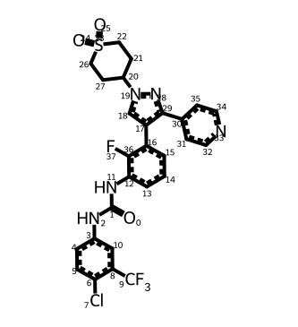 O=C(Nc1ccc(Cl)c(C(F)(F)F)c1)Nc1cccc(-c2cn(C3CCS(=O)(=O)CC3)nc2-c2ccncc2)c1F